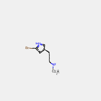 O=C(O)NCCc1c[nH]c(Br)c1